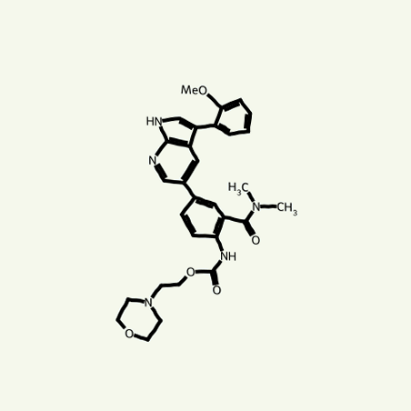 COc1ccccc1-c1c[nH]c2ncc(-c3ccc(NC(=O)OCCN4CCOCC4)c(C(=O)N(C)C)c3)cc12